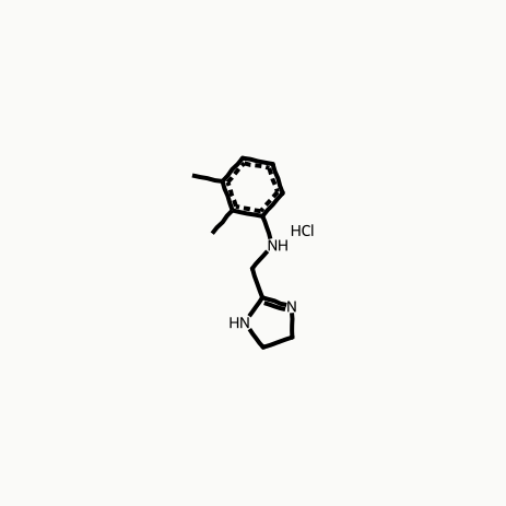 Cc1cccc(NCC2=NCCN2)c1C.Cl